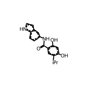 CC(C)c1cc(C(=O)Nc2ccc3[nH]ccc3c2)c(O)cc1O